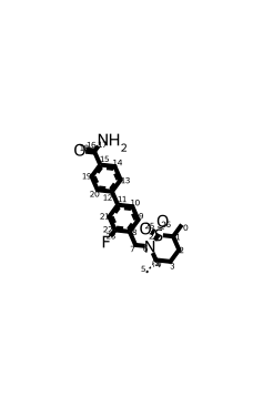 CC1CC[C@H](C)N(Cc2ccc(-c3ccc(C(N)=O)cc3)cc2F)S1(=O)=O